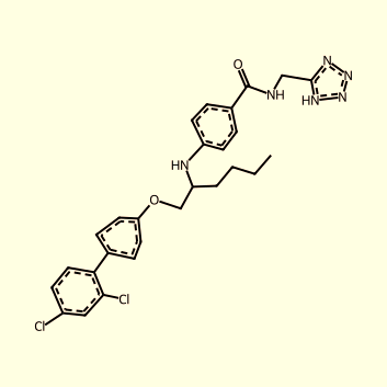 CCCCC(COc1ccc(-c2ccc(Cl)cc2Cl)cc1)Nc1ccc(C(=O)NCc2nnn[nH]2)cc1